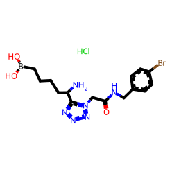 Cl.NC(CCCCB(O)O)c1nnnn1CC(=O)NCc1ccc(Br)cc1